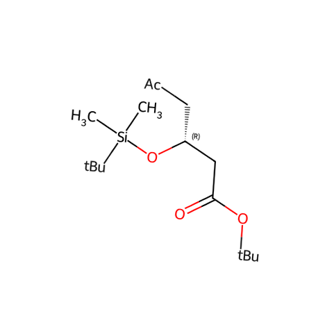 CC(=O)C[C@H](CC(=O)OC(C)(C)C)O[Si](C)(C)C(C)(C)C